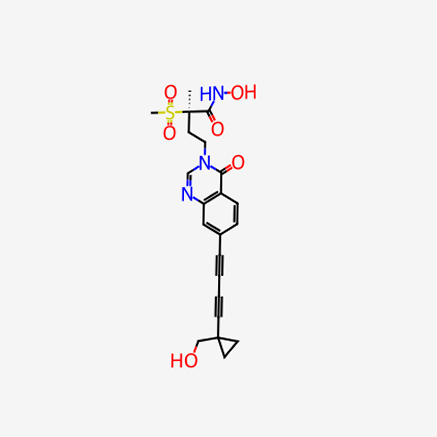 C[C@@](CCn1cnc2cc(C#CC#CC3(CO)CC3)ccc2c1=O)(C(=O)NO)S(C)(=O)=O